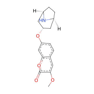 COc1cc2ccc(O[C@@H]3C[C@H]4CC[C@@H](C3)N4)cc2oc1=O